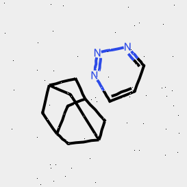 C1C2CC3CC1CC(C2)C3.c1cnnnc1